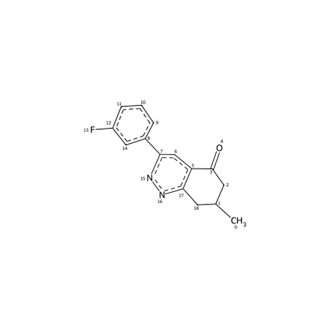 CC1CC(=O)c2cc(-c3cccc(F)c3)nnc2C1